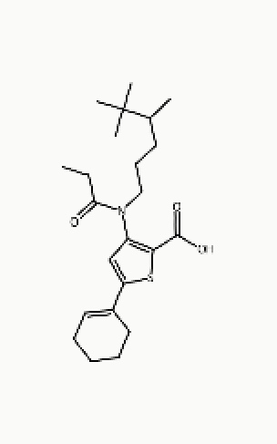 CCC(=O)N(CCCC(C)C(C)(C)C)c1cc(C2=CCCCC2)sc1C(=O)O